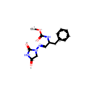 CC(C)(C)OC(=O)NC(/C=N/N1CC(=O)NC1=O)Cc1ccccc1